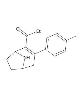 CCC(=O)C1=C(c2ccc(I)cc2)CC2CCC1N2